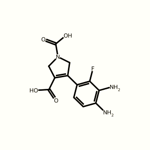 Nc1ccc(C2=C(C(=O)O)CN(C(=O)O)C2)c(F)c1N